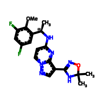 COc1c(F)cc(F)cc1[C@@H](C)Nc1ccn2ncc(C3=NOC(C)(C)N3)c2n1